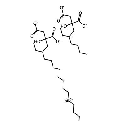 CCCCC(CC)CC(O)(CC(=O)[O-])C(=O)[O-].CCCCC(CC)CC(O)(CC(=O)[O-])C(=O)[O-].CCC[CH2][Sn+4][CH2]CCC